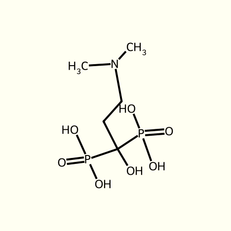 CN(C)CCC(O)(P(=O)(O)O)P(=O)(O)O